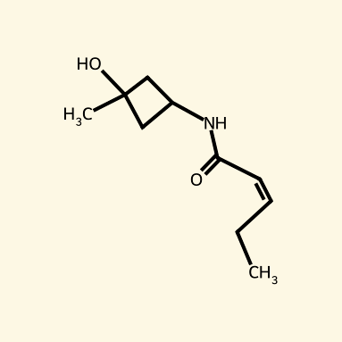 CC/C=C\C(=O)NC1CC(C)(O)C1